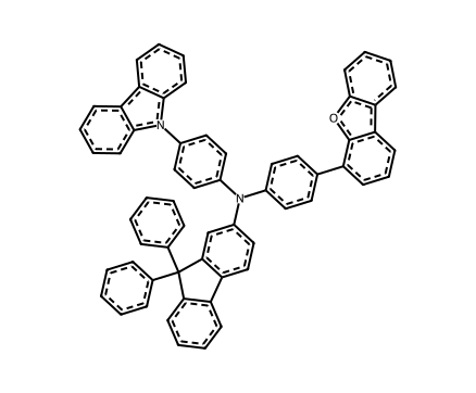 c1ccc(C2(c3ccccc3)c3ccccc3-c3ccc(N(c4ccc(-c5cccc6c5oc5ccccc56)cc4)c4ccc(-n5c6ccccc6c6ccccc65)cc4)cc32)cc1